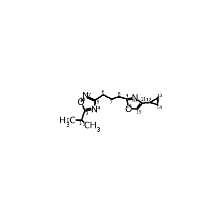 CC(C)c1nc(CCCc2nc(C3CC3)co2)no1